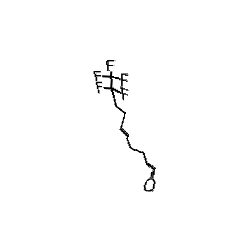 O=CCCCCCCCC(F)(F)C(F)(F)F